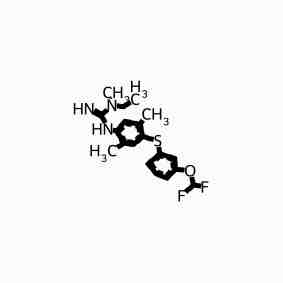 CCN(C)C(=N)Nc1cc(C)c(Sc2cccc(OC(F)F)c2)cc1C